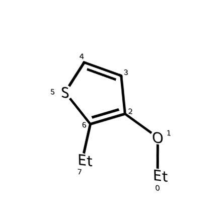 CCOc1ccsc1CC